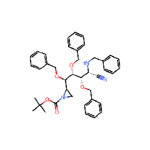 CC(C)(C)OC(=O)N1CC1[C@@H](OCc1ccccc1)[C@H](OCc1ccccc1)[C@@H](OCc1ccccc1)[C@@H](C#N)NCc1ccccc1